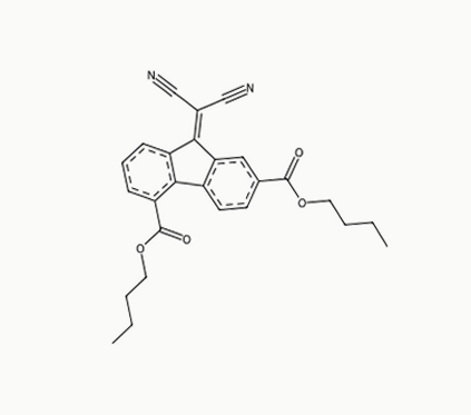 CCCCOC(=O)c1ccc2c(c1)C(=C(C#N)C#N)c1cccc(C(=O)OCCCC)c1-2